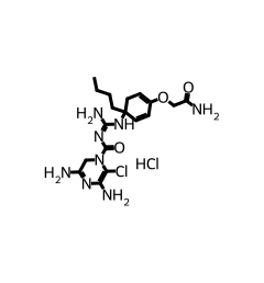 CCCCC1(NC(N)=NC(=O)N2CC(N)=NC(N)=C2Cl)C=CC(OCC(N)=O)=CC1.Cl